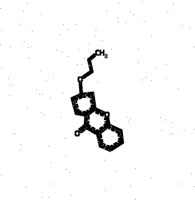 CCCOc1ccc2c(=O)c3ccccc3oc2c1